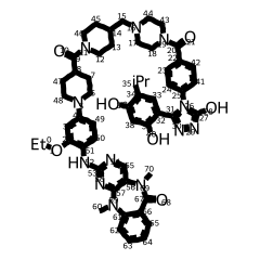 CCOc1cc(N2CCC(C(=O)N3CCC(CN4CCN(C(=O)c5ccc(-n6c(O)nnc6-c6cc(C(C)C)c(O)cc6O)cc5)CC4)CC3)CC2)ccc1Nc1ncc2c(n1)N(C)c1ccccc1C(=O)N2C